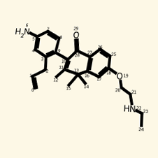 C=CCc1cc(N)ccc1C1=C(C)C(C)(C)c2cc(OCCNCC)ccc2C1=O